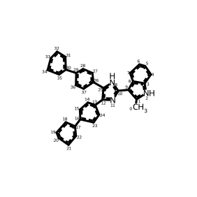 Cc1[nH]c2ccccc2c1-c1nc(-c2ccc(-c3ccccc3)cc2)c(-c2ccc(-c3ccccc3)cc2)[nH]1